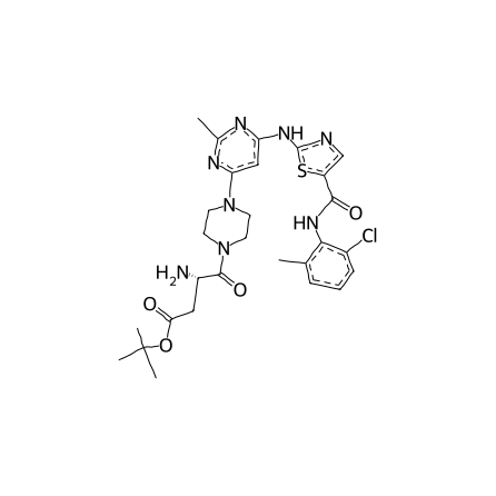 Cc1nc(Nc2ncc(C(=O)Nc3c(C)cccc3Cl)s2)cc(N2CCN(C(=O)[C@@H](N)CC(=O)OC(C)(C)C)CC2)n1